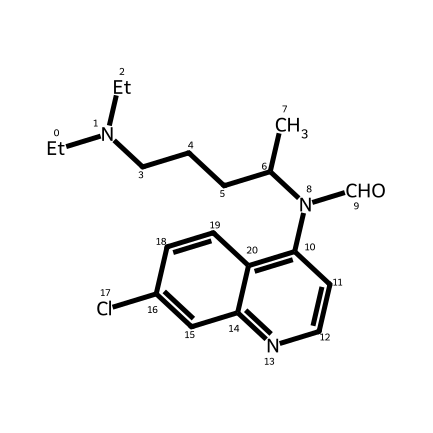 CCN(CC)CCCC(C)N(C=O)c1ccnc2cc(Cl)ccc12